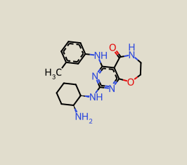 Cc1cccc(Nc2nc(N[C@@H]3CCCC[C@@H]3N)nc3c2C(=O)NCCO3)c1